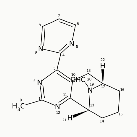 Cc1nc(-c2ncccn2)c2c(n1)[C@H]1CCC[C@@H](C2)N1C=O